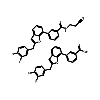 N#CCCNC(=O)c1cccc(-c2cccc3cc(Cc4ccc(F)c(F)c4)oc23)c1.O=C(O)c1cccc(-c2cccc3cc(Cc4ccc(F)c(F)c4)oc23)c1